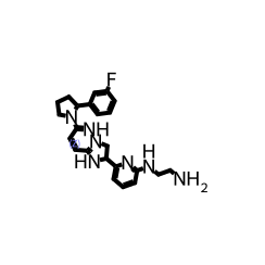 N=C(/C=C\C1=NCC(c2cccc(NCCN)n2)N1)N1CCCC1c1cccc(F)c1